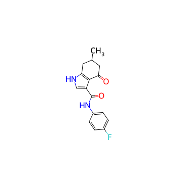 CC1CC(=O)c2c(C(=O)Nc3ccc(F)cc3)c[nH]c2C1